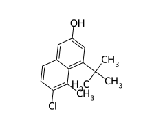 Cc1c(Cl)ccc2cc(O)cc(C(C)(C)C)c12